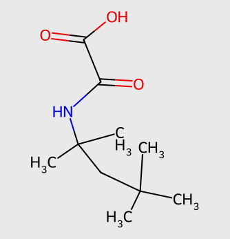 CC(C)(C)CC(C)(C)NC(=O)C(=O)O